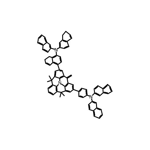 C=C1c2cc(-c3ccc(N(c4ccc5ccccc5c4)c4ccc5ccccc5c4)cc3)cc3c2N2c4c1cc(-c1ccc(N(c5ccc6c(c5)CCC=C6)c5ccc6ccccc6c5)c5c1C=CCC5)cc4C(C)(C)c1cccc(c12)C3(C)C